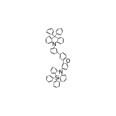 c1ccc(C2(c3ccccc3)c3ccccc3N(c3cccc(-c4ccc5oc6ccc(N7c8ccccc8[Si](c8ccccc8)(c8ccccc8)c8ccccc87)cc6c5c4)c3)c3ccccc32)cc1